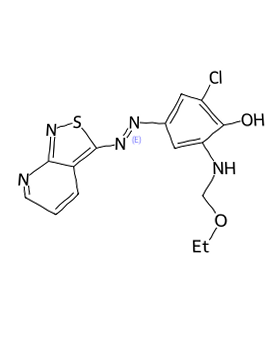 CCOCNc1cc(/N=N/c2snc3ncccc23)cc(Cl)c1O